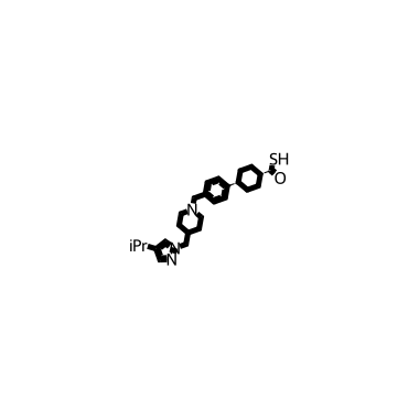 CC(C)c1cnn(CC2CCN(Cc3ccc([C@H]4CC[C@@H](C(=O)S)CC4)cc3)CC2)c1